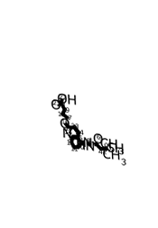 CC(C)(S)CC(=O)N/N=C1\CCCc2nc(OCCCC(=O)O)ccc21